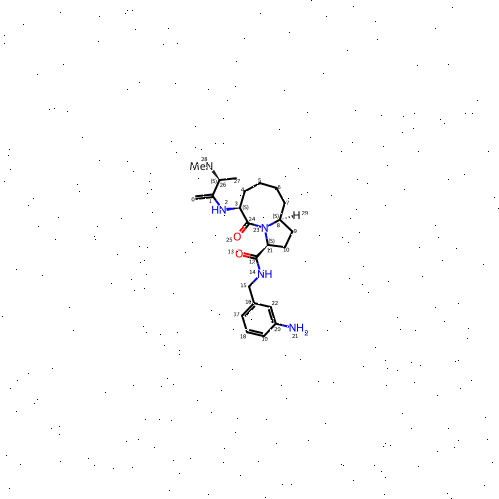 C=C(N[C@H]1CCCC[C@H]2CC[C@@H](C(=O)NCc3cccc(N)c3)N2C1=O)[C@H](C)NC